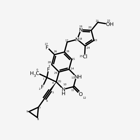 CC(F)(F)[C@@]1(C#CC2CC2)NC(=O)Nc2cc(Cn3nc(CO)cc3Cl)c(F)cc21